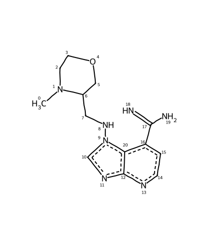 CN1CCOCC1CNn1cnc2nccc(C(=N)N)c21